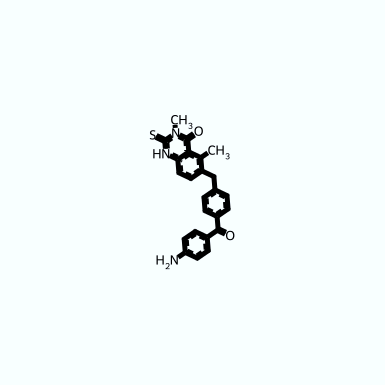 Cc1c(Cc2ccc(C(=O)c3ccc(N)cc3)cc2)ccc2[nH]c(=S)n(C)c(=O)c12